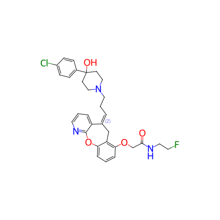 O=C(COc1cccc2c1C/C(=C/CCN1CCC(O)(c3ccc(Cl)cc3)CC1)c1cccnc1O2)NCCF